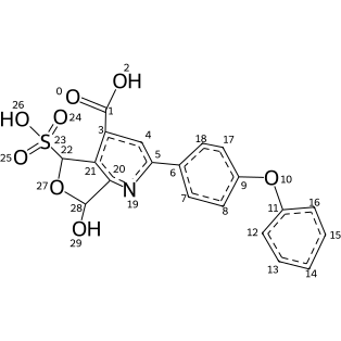 O=C(O)c1cc(-c2ccc(Oc3ccccc3)cc2)nc2c1C(S(=O)(=O)O)OC2O